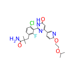 CC(C)OCCOc1ccc(-c2cc(=O)[nH]c(-c3c(Cl)ccc(CC(C)(C)C(N)=O)c3F)n2)cn1